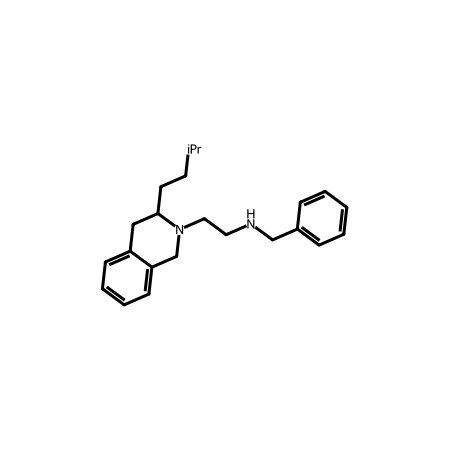 CC(C)CCC1Cc2ccccc2CN1CCNCc1ccccc1